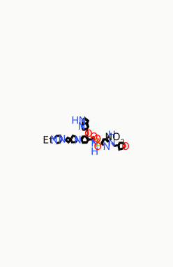 CCN1CCN(C2CC3(CCN(c4ccc(C(=O)NS(=O)(=O)c5cnc(NCC6CCOCC6)c([N+](=O)[O-])c5)c(Oc5cnc6[nH]ccc6c5)c4)CC3)C2)CC1